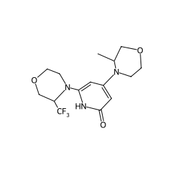 CC1COCCN1c1cc(N2CCOCC2C(F)(F)F)[nH]c(=O)c1